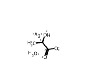 CC(O)C(=O)[O-].O.[Ag+]